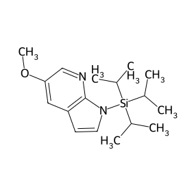 COc1cnc2c(ccn2[Si](C(C)C)(C(C)C)C(C)C)c1